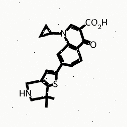 CC1(C)CNCc2cc(-c3ccc4c(=O)c(C(=O)O)cn(C5CC5)c4c3)sc21